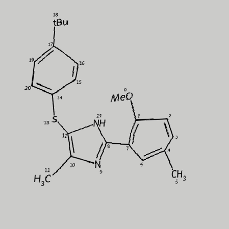 COc1ccc(C)cc1-c1nc(C)c(Sc2ccc(C(C)(C)C)cc2)[nH]1